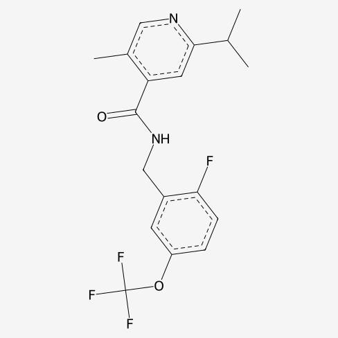 Cc1cnc(C(C)C)cc1C(=O)NCc1cc(OC(F)(F)F)ccc1F